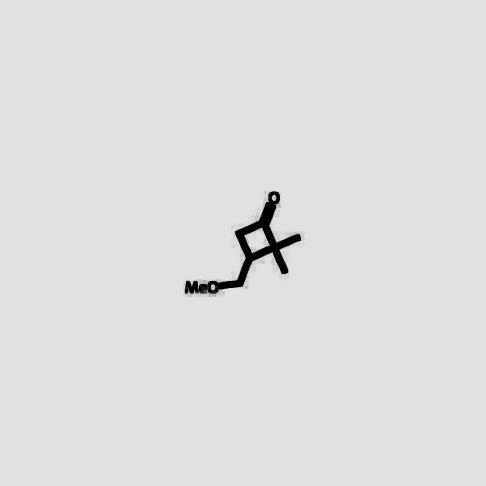 COCC1CC(=O)C1(C)C